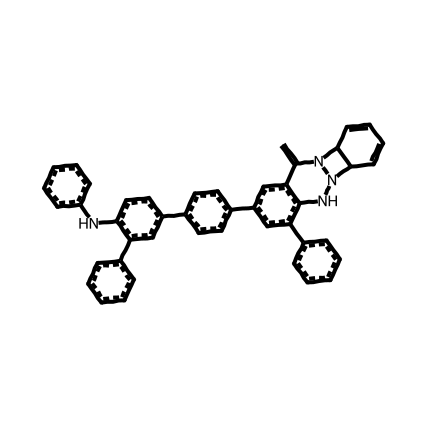 C=C1c2cc(-c3ccc(-c4ccc(Nc5ccccc5)c(-c5ccccc5)c4)cc3)cc(-c3ccccc3)c2NN2C3C=CC=CC3N12